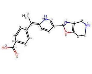 C/C(=C1/C=CC(c2nc3c(o2)CCNC3)=CN1)c1ccc(C(=O)O)cc1